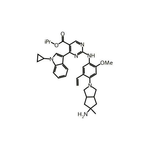 C=Cc1cc(Nc2ncc(C(=O)OC(C)C)c(-c3cn(C4CC4)c4ccccc34)n2)c(OC)cc1N1CC2CC(C)(N)CC2C1